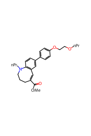 CCCOCCOc1ccc(-c2ccc3c(c2)/C=C(/C(=O)OC)CCCN3CCC)cc1